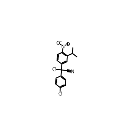 CC(C)c1cc(C(Cl)(C#N)c2ccc(Cl)cc2)ccc1[N+](=O)[O-]